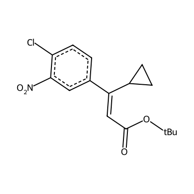 CC(C)(C)OC(=O)C=C(c1ccc(Cl)c([N+](=O)[O-])c1)C1CC1